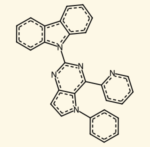 c1ccc(-n2ccc3nc(-n4c5ccccc5c5ccccc54)nc(-c4ccccn4)c32)cc1